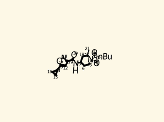 CCCCS(=O)(=O)N1CC[C@@H](NC(=O)c2cc(C3CC3)on2)C[C@H]1C